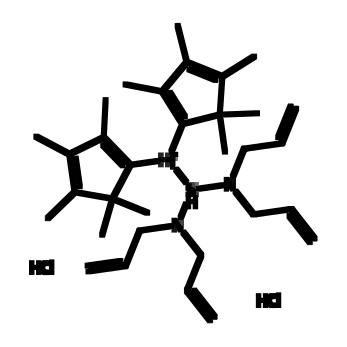 C=CCN(CC=C)[SiH](N(CC=C)CC=C)[Hf]([C]1=C(C)C(C)=C(C)C1(C)C)[C]1=C(C)C(C)=C(C)C1(C)C.Cl.Cl